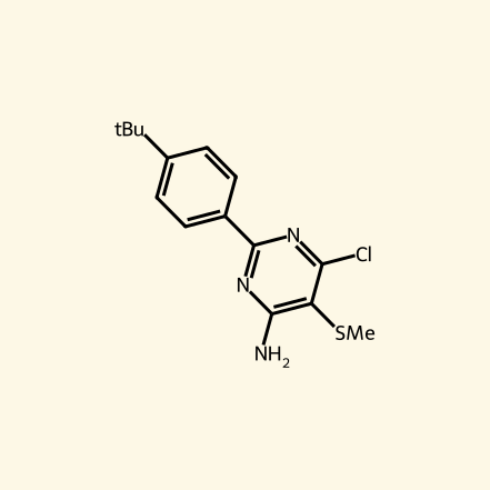 CSc1c(N)nc(-c2ccc(C(C)(C)C)cc2)nc1Cl